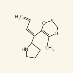 C=C/C=C(\C1=C(C)OCSO1)C1CCCN1